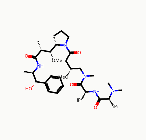 CO[C@H](CC(=O)N1CCC[C@H]1[C@H](OC)[C@@H](C)C(=O)N[C@H](C)[C@@H](O)c1ccccc1)CN(C)C(=O)[C@@H](NC(=O)[C@H](C(C)C)N(C)C)C(C)C